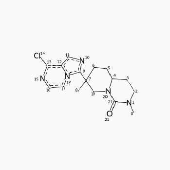 CN1CCC2CCC(C)(c3ncc4c(Cl)nccn34)CN2C1=O